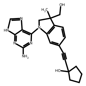 CC1(CO)CN(c2nc(N)nc3[nH]cnc23)c2cc(C#CC3(O)CCCC3)ccc21